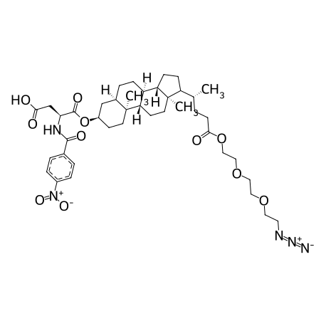 C[C@H](CCC(=O)OCCOCCOCCN=[N+]=[N-])C1CC[C@H]2[C@@H]3CC[C@@H]4C[C@H](OC(=O)[C@H](CC(=O)O)NC(=O)c5ccc([N+](=O)[O-])cc5)CC[C@]4(C)[C@H]3CC[C@]12C